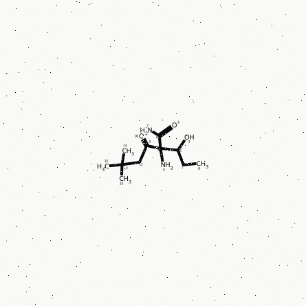 CCC(O)C(N)(C(N)=O)C(=O)CC(C)(C)C